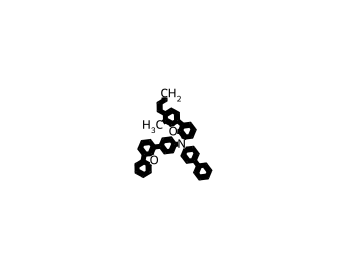 C=C/C=C\c1ccc2c(oc3c(N(c4ccc(-c5ccccc5)cc4)c4ccc(-c5cccc6c5oc5ccccc56)cc4)cccc32)c1C